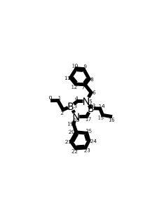 CCCB1CN(Cc2ccccc2)B(CCC)CN1Cc1ccccc1